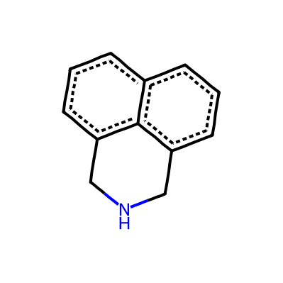 c1cc2c3c(cccc3c1)CNC2